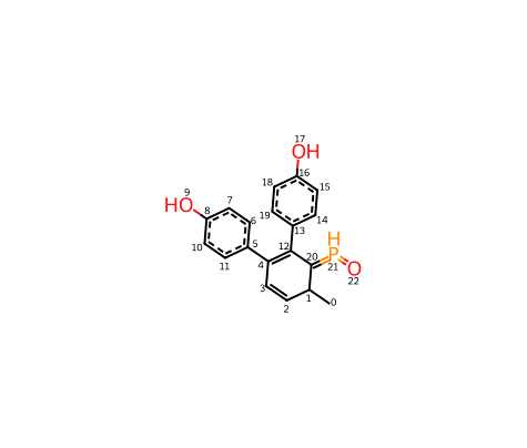 CC1C=CC(c2ccc(O)cc2)=C(c2ccc(O)cc2)C1=[PH]=O